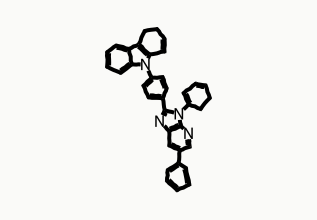 C1=CCCC(n2c(-c3ccc(-n4c5c(c6ccccc64)CCC=C5)cc3)nc3cc(-c4ccccc4)cnc32)=C1